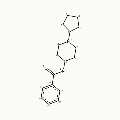 O=C(NC1CCN(C2CCCC2)CC1)c1ccccc1